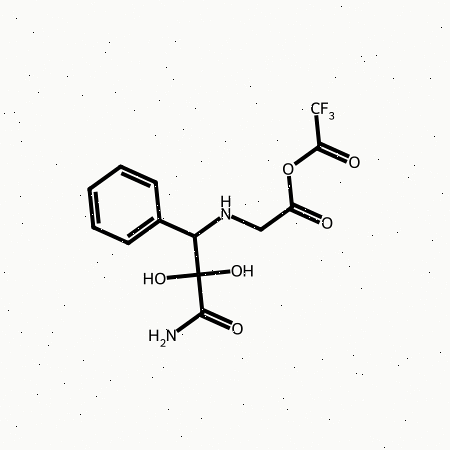 NC(=O)C(O)(O)C(NCC(=O)OC(=O)C(F)(F)F)c1ccccc1